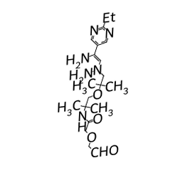 CCc1ncc(/C(N)=C/N(N)CC(C)(C)OCC(C)(C)NC(=O)COCC=O)cn1